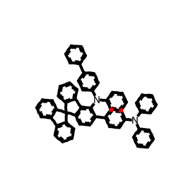 c1ccc(-c2ccc(N(c3ccccc3)c3c(-c4ccc(N(c5ccccc5)c5ccccc5)cc4)ccc4c3-c3ccccc3C43c4ccccc4-c4ccccc43)cc2)cc1